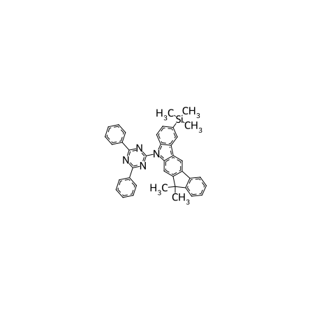 CC1(C)c2ccccc2-c2cc3c4cc([Si](C)(C)C)ccc4n(-c4nc(-c5ccccc5)nc(-c5ccccc5)n4)c3cc21